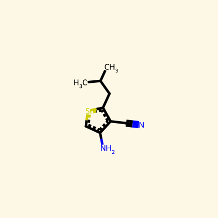 CC(C)Cc1scc(N)c1C#N